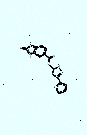 O=C(NC1NN=C(c2ccco2)S1)c1ccc2[nH]c(=O)[nH]c2c1